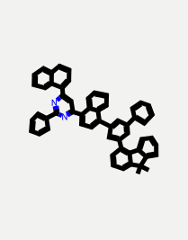 CC1(C)c2ccccc2-c2c(-c3cc(-c4ccccc4)cc(-c4ccc(-c5cc(-c6cccc7ccccc67)nc(-c6ccccc6)n5)c5ccccc45)c3)cccc21